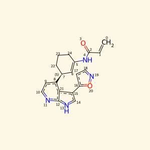 C=CC(=O)NC1=C[C@@H](c2ccnc3[nH]cc(-c4ccno4)c23)CCC1